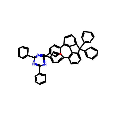 N#Cc1ccc(-c2cccc3c2-c2c(-c4ccc(-c5nc(-c6ccccc6)nc(-c6ccccc6)n5)cc4)cccc2C3(c2ccccc2)c2ccccc2)cc1